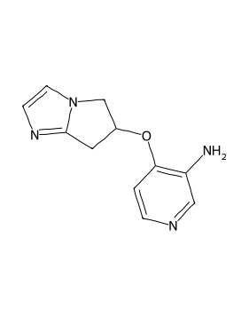 Nc1cnccc1OC1Cc2nccn2C1